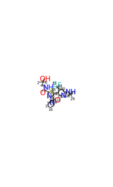 CC(C)(O)CNC(=O)c1nc(C(=O)N2C3CCC2CC3)c(-c2cnc(NC(C)(C)C)cc2C(F)(F)F)s1